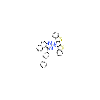 c1ccc(-c2ccc(-c3nc(-n4c5c6ccccc6sc5c5sc6ccccc6c54)nc4ccc5ccccc5c34)cc2)cc1